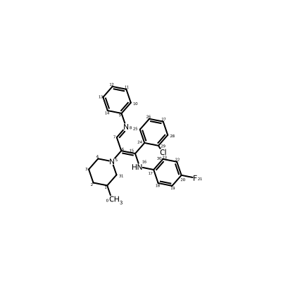 CC1CCCN(C(C=Nc2ccccc2)=C(Nc2ccc(F)cc2)c2ccccc2Cl)C1